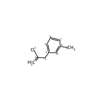 C=C(Cl)Cc1cccc(C)c1